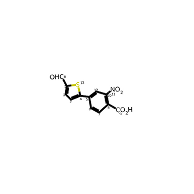 O=Cc1ccc(-c2ccc(C(=O)O)c([N+](=O)[O-])c2)s1